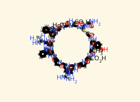 CCCC[C@H]1C(=O)N(C)[C@@H](CCCC)C(=O)N[C@@H](CC(=O)O)C(=O)N[C@H](C(=O)NCC(N)=O)CSCC(=O)N[C@@H](Cc2ccc(O)cc2)C(=O)N(C)[C@@H](C)C(=O)N[C@@H](CC(=O)O)C(=O)N2CCC[C@H]2C(=O)N[C@@H](CC2C=NC=N2)C(=O)N[C@@H](CCCNC(=N)N)C(=O)N2CCC[C@H]2C(=O)N[C@@H](Cc2c[nH]c3ccccc23)C(=O)N[C@@H](CCCNC(=N)N)C(=O)N[C@@H](Cc2c[nH]c3ccccc23)C(=O)N1C